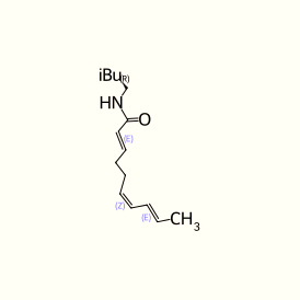 C/C=C/C=C\CC/C=C/C(=O)NC[C@H](C)CC